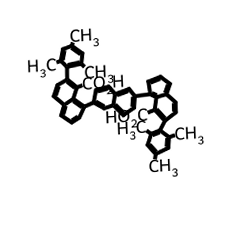 Cc1cc(C)c(-c2ccc3cccc(-c4ccc5cc(-c6cccc7ccc(-c8c(C)cc(C)cc8C)c(C(=O)O)c67)ccc5c4)c3c2C(=O)O)c(C)c1